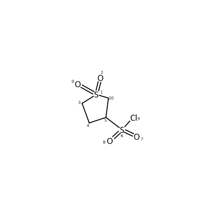 O=S1(=O)CCC(S(=O)(=O)Cl)C1